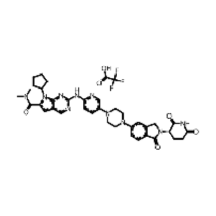 CN(C)C(=O)c1cc2cnc(Nc3ccc(N4CCN(c5ccc6c(c5)CN([C@@H]5CCC(=O)NC5=O)C6=O)CC4)cn3)nc2n1C1CCCC1.O=C(O)C(F)(F)F